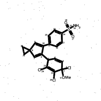 COC1(Cl)C=CC(C2=CC3(C=C2c2ccc(S(N)(=O)=O)cc2)CC3)C(Cl)=C1Cl